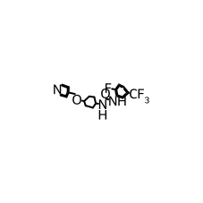 O=C(Nc1cc(C(F)(F)F)ccc1F)NC1CCC(OCc2ccncc2)CC1